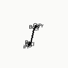 CC(C)OC(=O)C(Cl)(Br)CCCCCCCCCCCCC(Cl)(Br)C(=O)OC(C)C